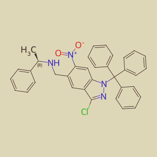 C[C@@H](NCc1cc2c(Cl)nn(C(c3ccccc3)(c3ccccc3)c3ccccc3)c2cc1[N+](=O)[O-])c1ccccc1